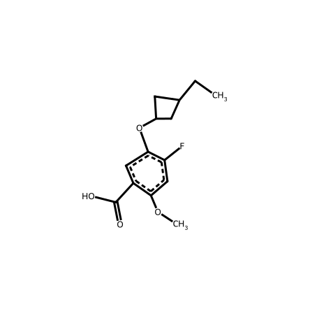 CCC1CC(Oc2cc(C(=O)O)c(OC)cc2F)C1